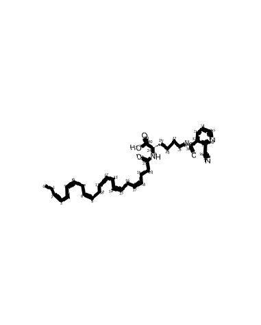 CC/C=C\C/C=C\C/C=C\C/C=C\C/C=C\C/C=C\CCC(=O)N[C@@H](CCCCNC(=O)c1cccnc1C#N)C(=O)O